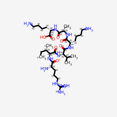 CC[C@H](C)[C@H](NC(=O)[C@@H](N)CCCNC(=N)N)C(=O)N[C@H](C(=O)N[C@@H](CCCCN)C(=O)N[C@@H](C)C(=O)N[C@@H](CCCCN)C(=O)O)C(C)C